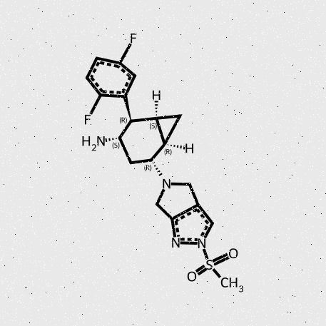 CS(=O)(=O)n1cc2c(n1)CN([C@@H]1C[C@H](N)[C@@H](c3cc(F)ccc3F)[C@H]3C[C@H]31)C2